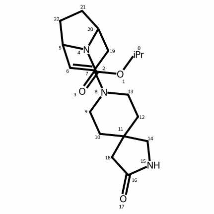 CC(C)OC(=O)N1C2C=C(N3CCC4(CC3)CNC(=O)C4)CC1CC2